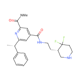 CNC(=O)c1cc(C(=O)NCC[C@H]2CNCCC2(F)F)cc([C@@H](C)c2ccccc2)n1